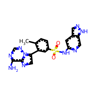 Cc1ccc(S(=O)(=O)Nc2cc3cn[nH]c3cn2)cc1-c1cnc2c(N)ncnn12